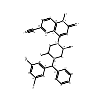 CC1CN(c2cc(=O)n(C)c3ccc(C#N)nc23)[C@@H](C)CN1C(c1ccccc1)c1cc(F)cc(F)c1